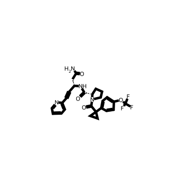 NC(=O)C[C@@H](C#Cc1ccccn1)NC(=O)[C@@H]1CCCN1C(=O)C1(c2ccc(OC(F)(F)F)cc2)CC1